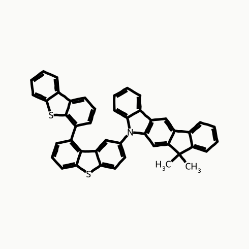 CC1(C)c2ccccc2-c2cc3c4ccccc4n(-c4ccc5sc6cccc(-c7cccc8c7sc7ccccc78)c6c5c4)c3cc21